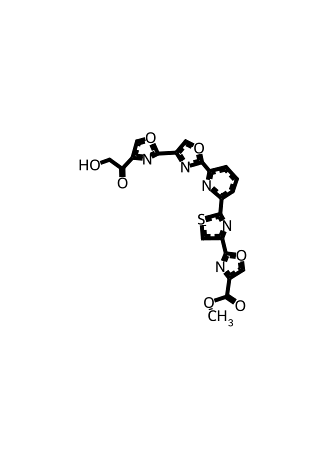 COC(=O)c1coc(-c2csc(-c3cccc(-c4nc(-c5nc(C(=O)CO)co5)co4)n3)n2)n1